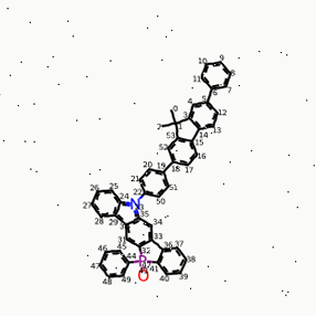 CC1(C)c2cc(-c3ccccc3)ccc2-c2ccc(-c3ccc(-n4c5ccccc5c5cc6c(cc54)-c4ccccc4P6(=O)c4ccccc4)cc3)cc21